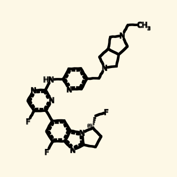 CCN1CC2CN(Cc3ccc(Nc4ncc(F)c(-c5cc(F)c6nc7n(c6c5)[C@H](CF)CC7)n4)nc3)CC2C1